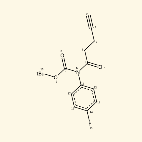 C#CCCC(=O)N(C(=O)OC(C)(C)C)c1ccc(F)cc1